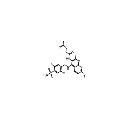 COc1ccc2c(NCc3cc(F)c(S(N)(=O)=O)cc3F)c(NC(=O)COC(C)=O)c(C)nc2n1